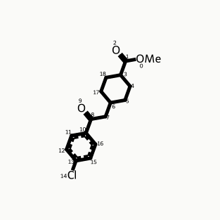 COC(=O)C1CCC(CC(=O)c2ccc(Cl)cc2)CC1